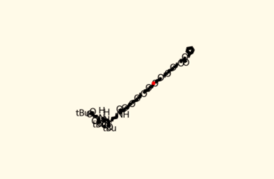 CC(C)(C)OC(=O)CC[C@H](NC(=O)N[C@@H](CCCCNC(=O)COCCOCCOCCOCCOCCOCCOCCOCCOCCOCC(=O)OCc1ccccc1)C(=O)OC(C)(C)C)C(=O)OC(C)(C)C